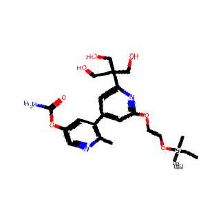 Cc1ncc(OC(N)=O)cc1-c1cc(OCCO[Si](C)(C)C(C)(C)C)nc(C(CO)(CO)CO)c1